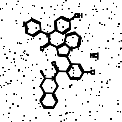 C[C@@H]1Cc2ccccc2CN1C(=O)c1ccc(Cl)cc1-c1cc(C(=O)N(c2ccncc2)c2ccc(O)cc2)c2ccccn12.Cl